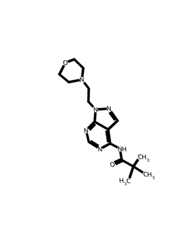 CC(C)(C)C(=O)Nc1ncnc2c1cnn2CCN1CCOCC1